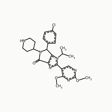 COc1ncc(-c2nc3c(n2C(C)C)C(c2ccc(Cl)cc2)N(C2CCNCC2)C3=O)c(OC)n1